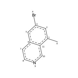 Cc1cc(Br)cc2ccncc12